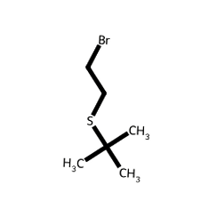 CC(C)(C)SCCBr